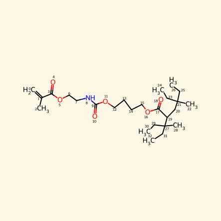 C=C(C)C(=O)OCCNC(=O)OCCCCOC(=O)C(CC(C)(CC)CC)C(C)(CC)CC